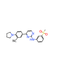 CS(=O)(=O)c1cccc(Nc2nccc(-c3ccc(N4CCCC4)c(C#N)c3)n2)c1